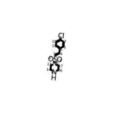 O=S(=O)(C=Cc1ccc(Cl)cc1)N1CCNCC1